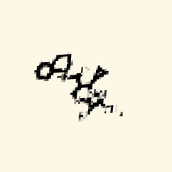 Cc1nn2c(C3CC3)c(C(=O)N[C@H]3CCCc4ccccc43)cnc2c1Br